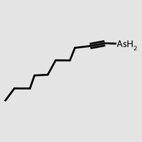 CCCCCCCCC#C[AsH2]